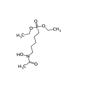 CCOP(=O)(CCCCCN(O)C(C)=O)OCC